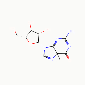 NC1=NC(=O)C2(C(=O)O)N=CN([C@@H]3O[C@H](CO)[C@@H](O)[C@H]3O)C2=N1